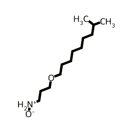 CC(C)CCCCCCCOCCC[NH2+][O-]